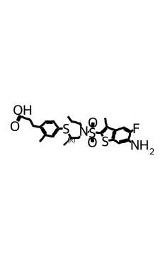 CCCN(C[C@@H](C)Sc1ccc(CCC(=O)O)c(C)c1)S(=O)(=O)c1sc2cc(N)c(F)cc2c1C